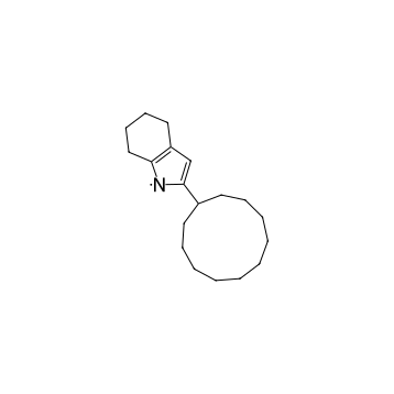 C1=C(C2CCCCCCCCCC2)[N]C2=C1CCCC2